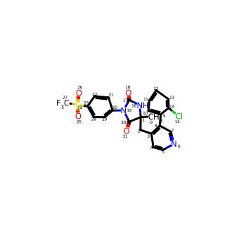 CC1(Cc2ccncc2-c2ccccc2Cl)NC(=O)N(c2ccc(S(=O)(=O)C(F)(F)F)cc2)C1=O